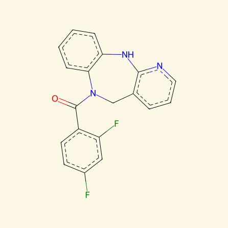 O=C(c1ccc(F)cc1F)N1Cc2cccnc2Nc2ccccc21